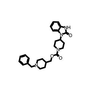 O=C(OCC1CCN(Cc2ccccc2)CC1)N1CCC(n2c(=O)[nH]c3ccccc32)CC1